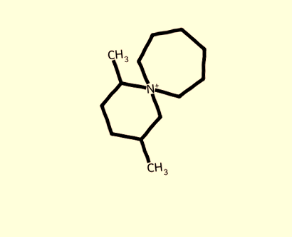 CC1CCC(C)[N+]2(CCCCCC2)C1